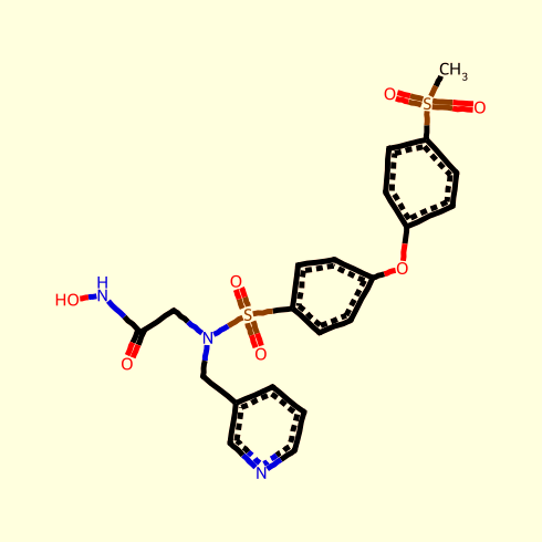 CS(=O)(=O)c1ccc(Oc2ccc(S(=O)(=O)N(CC(=O)NO)Cc3cccnc3)cc2)cc1